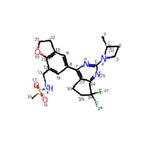 C[C@H]1CCN1c1nc(-c2cc3c(c(CNS(C)(=O)=O)c2)OCC3)c2c(n1)C(F)(F)CC2